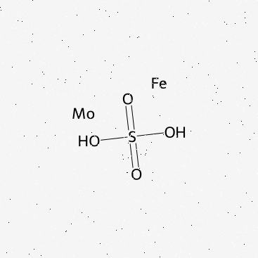 O=S(=O)(O)O.[Fe].[Mo]